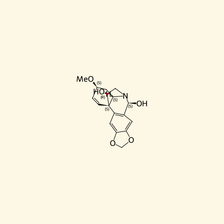 CO[C@@H]1C=C[C@@]23c4cc5c(cc4[C@H](O)N(C[C@@H]2O)[C@H]3C1)OCO5